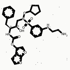 NCCNc1cccc(S(=O)(=O)N(C[C@@H](O)[C@H](Cc2ccccc2)NC(=O)Oc2coc3occc23)OC2CCCC2)c1